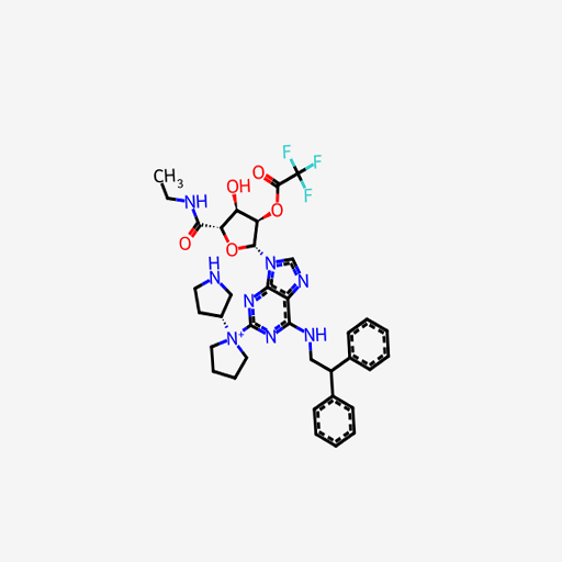 CCNC(=O)[C@H]1O[C@@H](n2cnc3c(NCC(c4ccccc4)c4ccccc4)nc([N+]4([C@@H]5CCNC5)CCCC4)nc32)[C@H](OC(=O)C(F)(F)F)[C@@H]1O